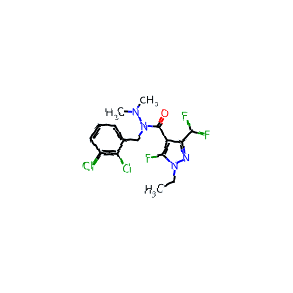 CCn1nc(C(F)F)c(C(=O)N(Cc2cccc(Cl)c2Cl)N(C)C)c1F